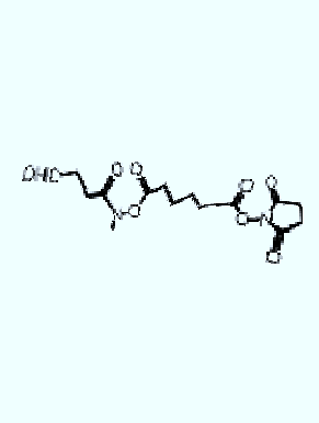 CN(OC(=O)CCCCC(=O)ON1C(=O)CCC1=O)C(=O)CCC=O